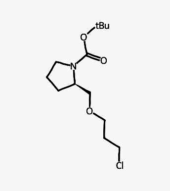 CC(C)(C)OC(=O)N1CCC[C@@H]1COCCCCl